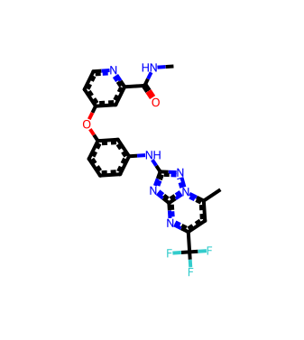 CNC(=O)c1cc(Oc2cccc(Nc3nc4nc(C(F)(F)F)cc(C)n4n3)c2)ccn1